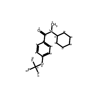 CN(C(=O)c1ccc(OC(F)(F)F)cc1)C1CCCCC1